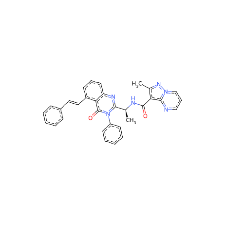 Cc1nn2cccnc2c1C(=O)N[C@@H](C)c1nc2cccc(/C=C/c3ccccc3)c2c(=O)n1-c1ccccc1